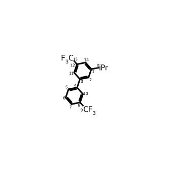 CC(C)c1cc(-c2cccc(C(F)(F)F)c2)cc(C(F)(F)F)c1